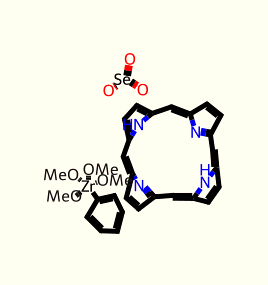 C1=Cc2cc3ccc(cc4nc(cc5ccc(cc1n2)[nH]5)C=C4)[nH]3.C[O][Zr]([O]C)([O]C)([O]C)[c]1ccccc1.O=[Se](=O)=O